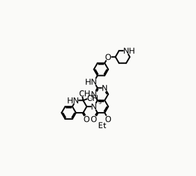 CCOc1cc2cnc(Nc3ccc(OC4CCCNC4)cc3)nc2n(C2C(=O)c3ccccc3NC2(C)C)c1=O